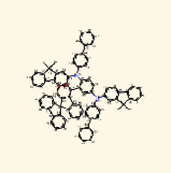 CC1(C)c2ccccc2-c2ccc(N(c3ccc(-c4ccccc4)cc3)c3ccc(N(c4ccc(-c5ccccc5)cc4)c4ccc5c(c4)C(C)(C)c4ccccc4-5)c(-c4cccc5c4-c4ccccc4C54c5ccccc5-c5ccccc54)c3)cc21